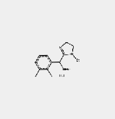 CCN1CCN=C1C(NC)c1cccc(C)c1C.Cl